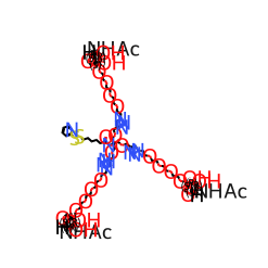 CC(=O)N[C@H]1[C@H]2OC[C@](COCCOCCOCCOCCn3cc(COCC(COCc4cn(CCOCCOCCOCCOC[C@@]56CO[C@@H](O5)[C@H](NC(C)=O)[C@@H](O)[C@H]6O)nn4)(COCc4cn(CCOCCOCCOCCOC[C@@]56CO[C@@H](O5)[C@H](NC(C)=O)[C@@H](O)[C@H]6O)nn4)NC(=O)CCCCCSSc4ccccn4)nn3)(O2)[C@H](O)[C@@H]1O